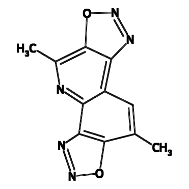 Cc1nc2c(cc(C)c3onnc32)c2nnoc12